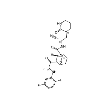 C[C@@H](Nc1cc(F)ccc1F)C(=O)N1C2CCC(CC2)[C@H]1C(=O)N[C@H](C#N)C[C@@H]1CCCNC1=O